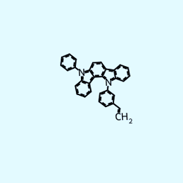 C=Cc1cccc(-n2c3ccccc3c3ccc4c(c5ccccc5n4-c4ccccc4)c32)c1